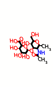 CC(=O)N[C@H]1C(O[C@@H]2OC(C(=O)O)[C@@H](O)C(O)[C@@H]2O)[C@H](O)C(CO)O[C@H]1C